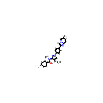 Cc1ccc2nc(-c3ccc(-n4cc(C(=O)O)c(N(C(=O)C5CCC(C)CC5)C(C)C)n4)cc3)cn2c1